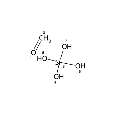 C=O.O[Si](O)(O)O